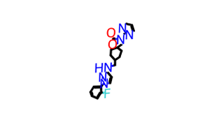 O=C1OC2(CCC(CNc3ccn(-c4ccccc4F)n3)CC2)CN1c1ncccn1